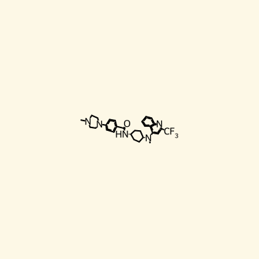 CN1CCN(c2ccc(C(=O)N[C@H]3CC[C@@H](N(C)c4cc(C(F)(F)F)nc5ccccc45)CC3)cc2)CC1